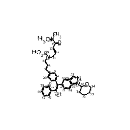 CC/C(=C(/c1ccc(CCCN(C/C=C/C(=O)N(C)C)C(=O)O)cc1)c1ccc2c(cnn2C2CCCCO2)c1)c1ccccc1